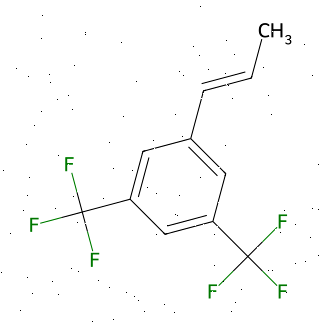 CC=Cc1cc(C(F)(F)F)cc(C(F)(F)F)c1